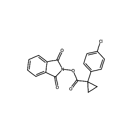 O=C1c2ccccc2C(=O)N1OC(=O)C1(c2ccc(Cl)cc2)CC1